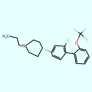 CCC[Si@H]1CC[C@H](c2ccc(-c3ccccc3OC(F)(F)F)c(F)c2)CC1